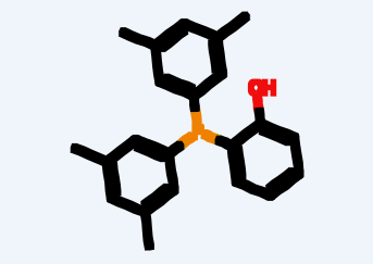 Cc1cc(C)cc(P(c2cc(C)cc(C)c2)c2ccccc2O)c1